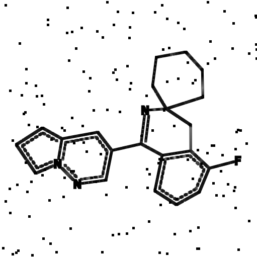 Fc1cccc2c1CC1(CCCCC1)N=C2c1cnn2cccc2c1